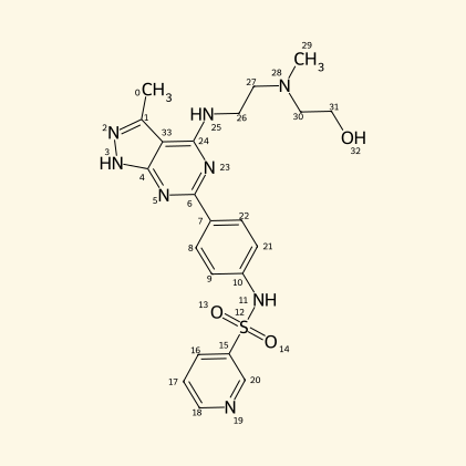 Cc1n[nH]c2nc(-c3ccc(NS(=O)(=O)c4cccnc4)cc3)nc(NCCN(C)CCO)c12